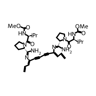 C=C/C=C(C#CC#CC(=C/C=C)/N=C(\N)[C@@H]1CCCN1C(=O)[C@@H](NC(=O)OC)C(C)C)\N=C(/N)[C@@H]1CCCN1C(=O)[C@@H](NC(=O)OC)C(C)C